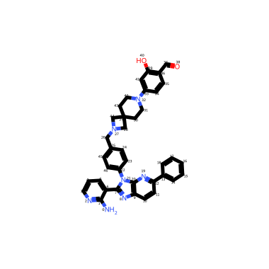 Nc1ncccc1-c1nc2ccc(-c3ccccc3)nc2n1-c1ccc(CN2CC3(CCN(c4ccc(C=O)c(O)c4)CC3)C2)cc1